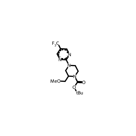 COCC1CN(c2ncc(C(F)(F)F)cn2)CCN1C(=O)OC(C)(C)C